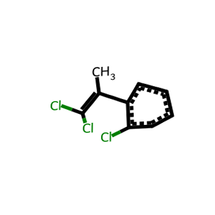 CC(=C(Cl)Cl)c1ccccc1Cl